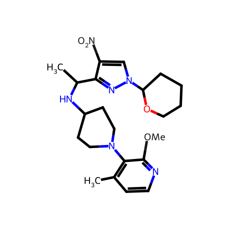 COc1nccc(C)c1N1CCC(NC(C)c2nn(C3CCCCO3)cc2[N+](=O)[O-])CC1